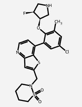 Cc1cc(Cl)cc(-c2ccnc3cc(CN4CCCCS4(=O)=O)sc23)c1O[C@@H]1CNC[C@@H]1F